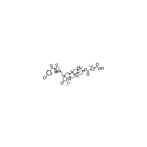 CC(C)C1=C2[C@H]3CC[C@@H]4[C@@]5(C)CC[C@H](OC(=O)[C@H]6C[C@@H](C(=O)O)C6(C)C)C(C)(C)[C@@H]5CC[C@@]4(C)[C@]3(C)CC[C@@]2(CCNCC2(NC(=O)c3ccc(Cl)cc3)CC2)CC1=O